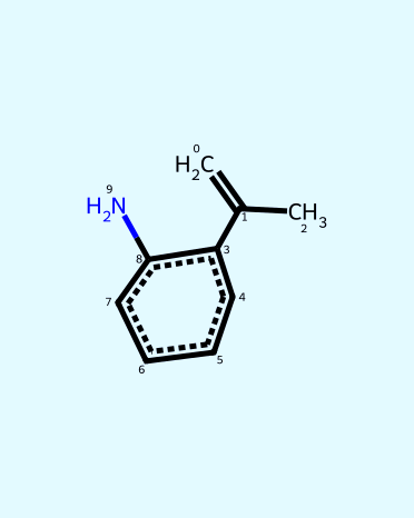 C=C(C)c1ccccc1N